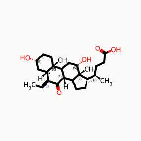 C/C=C1/C(=O)[C@H]2C3CC[C@H]([C@H](C)CCC(=O)O)[C@@]3(C)[C@@H](O)CC2[C@@]2(C)CC[C@@H](O)C[C@@H]12